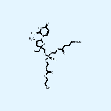 C=C1NC(=O)C=CN1[C@@H]1O[C@](CF)(COP(=C)(OCOC(=O)CCCOC)OCOC(=O)OCCO)C[C@@H]1C